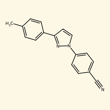 Cc1ccc(-c2ccn(-c3ccc(C#N)cc3)n2)cc1